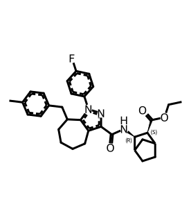 CCOC(=O)[C@H]1C2CCC(C2)[C@H]1NC(=O)c1nn(-c2ccc(F)cc2)c2c1CCCCC2Cc1ccc(C)cc1